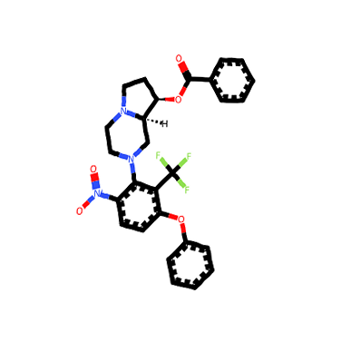 O=C(O[C@@H]1CCN2CCN(c3c([N+](=O)[O-])ccc(Oc4ccccc4)c3C(F)(F)F)C[C@H]12)c1ccccc1